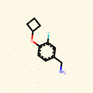 NCc1ccc(OC2CCC2)c(F)c1